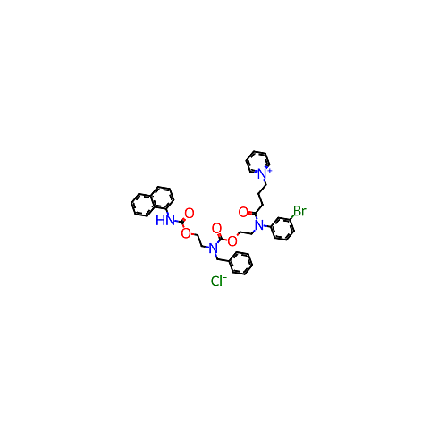 O=C(Nc1cccc2ccccc12)OCCN(Cc1ccccc1)C(=O)OCCN(C(=O)CCC[n+]1ccccc1)c1cccc(Br)c1.[Cl-]